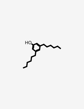 CCCCCCc1cc(O)cc(CCCCCC)c1